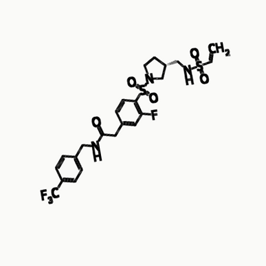 C=CS(=O)(=O)NC[C@H]1CCN(S(=O)(=O)c2ccc(CC(=O)NCc3ccc(C(F)(F)F)cc3)cc2F)C1